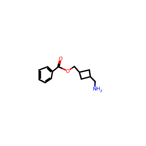 NCC1CC(COC(=O)c2ccccc2)C1